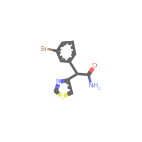 NC(=O)C(c1cccc(Br)c1)c1cscn1